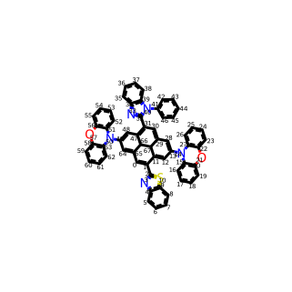 C1=C(c2nc3ccccc3s2)C2=CC(N3c4ccccc4Oc4ccccc43)=CC3=CC(c4nc5ccccc5n4-c4ccccc4)=C4C=C(N5c6ccccc6Oc6ccccc65)C=C1C4C32